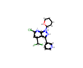 FC(F)c1cc(Cl)nc2c1c(-c1cccnc1)nn2C1CCCCO1